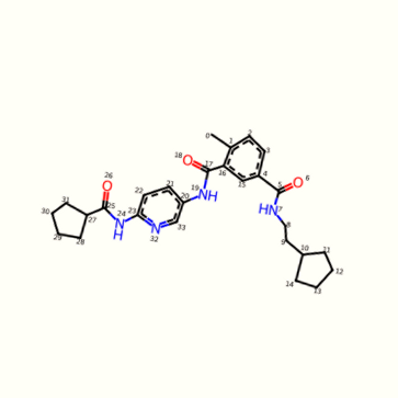 Cc1ccc(C(=O)NCCC2CCCC2)cc1C(=O)Nc1ccc(NC(=O)C2CCCC2)nc1